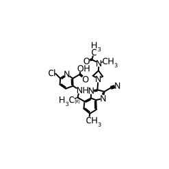 CC(=O)N(C)C1CN(c2nc3c([C@@H](C)Nc4ccc(Cl)nc4C(=O)O)cc(C)cc3nc2C#N)C1